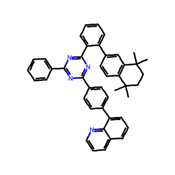 CC1(C)CCC(C)(C)c2cc(-c3ccccc3-c3nc(-c4ccccc4)nc(-c4ccc(-c5cccc6cccnc56)cc4)n3)ccc21